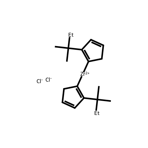 CCC(C)(C)C1=[C]([Zr+2][C]2=C(C(C)(C)CC)C=CC2)CC=C1.[Cl-].[Cl-]